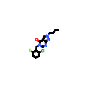 CCCCn1cc2c(=O)n(Cc3c(F)cccc3Cl)cnc2n1